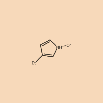 CCC1=C[NH+]([O-])[C]=C1